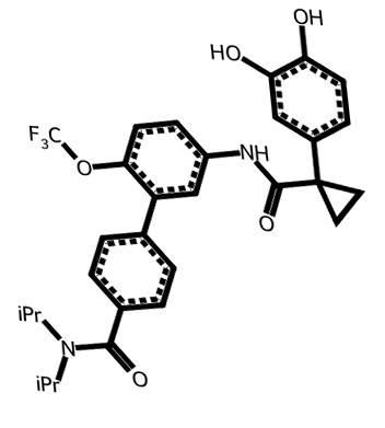 CC(C)N(C(=O)c1ccc(-c2cc(NC(=O)C3(c4ccc(O)c(O)c4)CC3)ccc2OC(F)(F)F)cc1)C(C)C